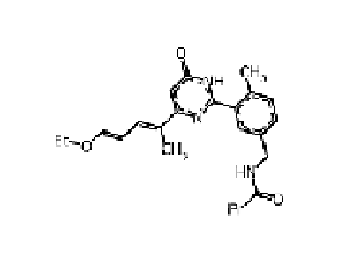 CCO/C=C/C=C(\C)c1cc(=O)[nH]c(-c2cc(CNC(=O)C(C)C)ccc2C)n1